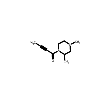 CC#CC(=O)N1CCN(C)CC1C